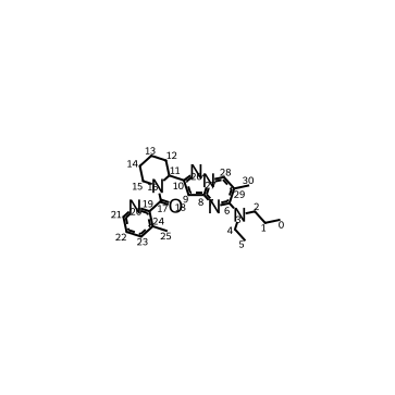 CCCN(CC)c1nc2cc(C3CCCCN3C(=O)c3ncccc3C)nn2cc1C